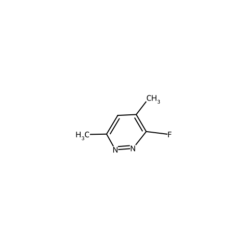 Cc1cc(C)c(F)nn1